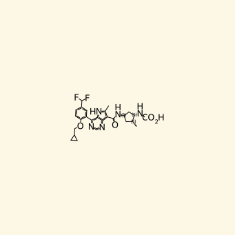 Cc1[nH]c2c(-c3cc(C(F)F)ccc3OCC3CC3)ncnc2c1C(=O)N[C@H]1C[C@H](NC(=O)O)[C@@H](C)C1